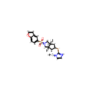 Cn1ccnc1SC1C[C@@H]2CN(S(=O)(=O)c3ccc4occc4c3)C[C@@H]2C1